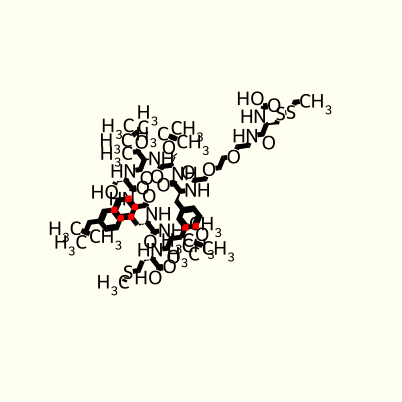 CCSSC[C@H](NC(=O)O)C(=O)NCCOCCOCC(=O)N[C@@H](Cc1ccc(OC(C)(C)C)cc1)C(=O)N[C@@H](COC(C)(C)C)C(=O)N[C@H](C(=O)N[C@@H](CO)C(=O)N[C@@H](Cc1ccc(CC(C)(C)C)cc1)C(=O)N[C@@H](Cc1ccccc1)C(=O)N[C@H](C(=O)N[C@@H](CCSC)C(=O)O)C(C)CC)C(C)OC(C)(C)C